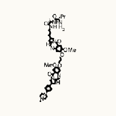 COc1cc2c(cc1OCCCOc1cc3c(cc1OC)C(=O)N1C=C(c4ccc(N5CCN(C)CC5)cc4)C[C@H]1C=N3)N=C[C@@H]1CC(C=CCNC(=O)[C@H](C)NC(=O)[C@@H](N)C(C)C)=CN1C2=O